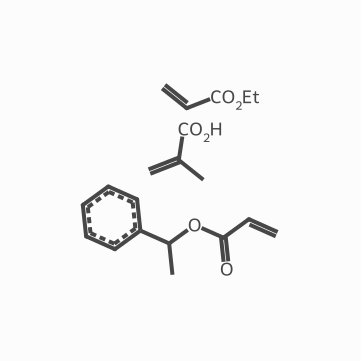 C=C(C)C(=O)O.C=CC(=O)OC(C)c1ccccc1.C=CC(=O)OCC